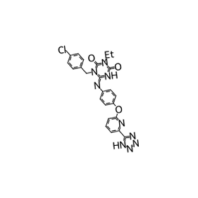 CCn1c(=O)[nH]/c(=N\c2ccc(Oc3cccc(-c4nnn[nH]4)n3)cc2)n(Cc2ccc(Cl)cc2)c1=O